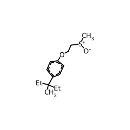 CCC(C)(CC)c1ccc(OCC[S+](C)[O-])cc1